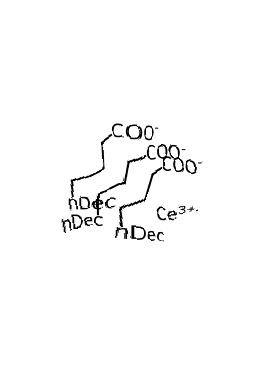 CCCCCCCCCCCCCC(=O)[O-].CCCCCCCCCCCCCC(=O)[O-].CCCCCCCCCCCCCC(=O)[O-].[Ce+3]